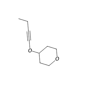 CCC#COC1CCOCC1